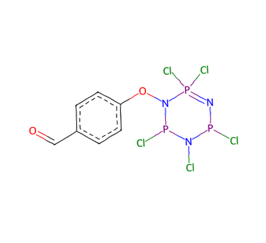 O=Cc1ccc(ON2P(Cl)N(Cl)P(Cl)N=P2(Cl)Cl)cc1